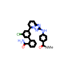 CNC(=O)c1ccc(Nc2nc3cccc(-c4cc(Cl)cc(-c5ccccc5C(N)=O)c4)n3n2)cc1